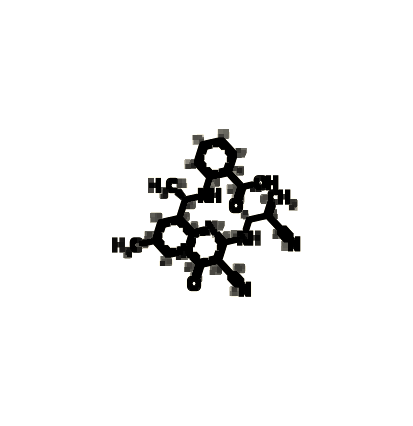 C=C(C#N)CNc1nc2c([C@@H](C)Nc3ccccc3C(=O)O)cc(C)cn2c(=O)c1C#N